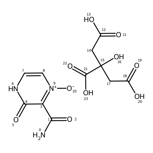 NC(=O)c1c(=O)[nH]cc[n+]1[O-].O=C(O)CC(O)(CC(=O)O)C(=O)O